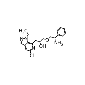 CCn1ncc2cc(Cl)nc(CC(O)COC[C@@H](N)c3ccccc3)c21